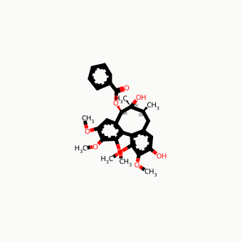 COc1cc2c(c(OC)c1OC)-c1c(cc(O)c(OC)c1OC)C[C@H](C)[C@](C)(O)[C@@H]2OC(=O)c1ccccc1